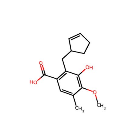 COc1c(C)cc(C(=O)O)c(CC2C=CCC2)c1O